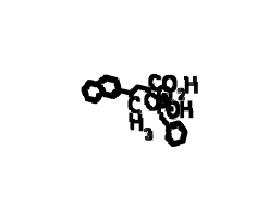 CC(CC(OP(=O)(O)Cc1ccccc1)C(=O)O)c1ccc2ccccc2c1